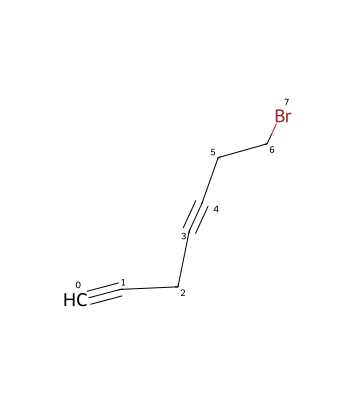 C#CCC#CCCBr